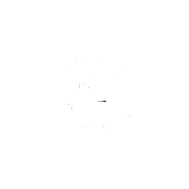 CCCCN(CCC(=O)OCC)C(=O)[C@H](CC(=O)O)NC(=O)OC(C)(C)C